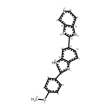 COc1ccc(-c2nc3ccc(-c4nc5ccncc5s4)cc3[nH]2)cc1